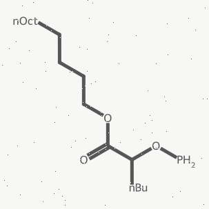 CCCCCCCCCCCCOC(=O)C(CCCC)OP